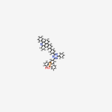 O[PH](c1ccccc1)(c1ccccc1)c1ccc(-c2nc(-c3ccccc3)nc(-c3ccc(-c4ccc(-c5cccc6c(-c7ccccc7)nc7ccccc7c56)cc4)cc3)n2)cc1